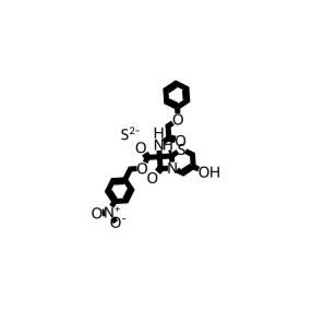 O=C(COc1ccccc1)NC1(C(=O)OCc2ccc([N+](=O)[O-])cc2)C(=O)N2C=C(O)CS[C@H]21.[S-2]